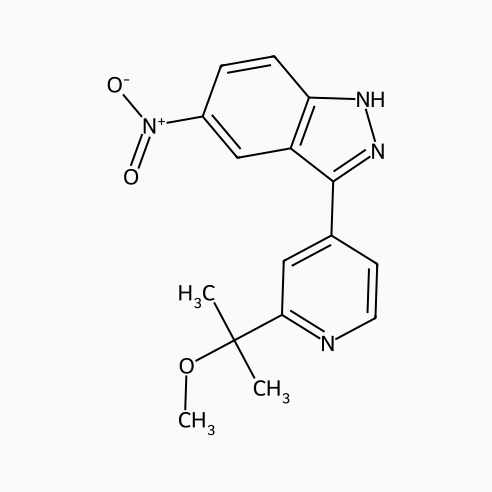 COC(C)(C)c1cc(-c2n[nH]c3ccc([N+](=O)[O-])cc23)ccn1